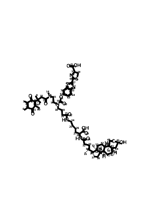 CC1=C(C)C(=O)C(C(C)(C)CC(=O)N(C)CCN(CCCC(=O)NCCCCC(NC(=O)CC[C@@H](C)[C@H]2CC[C@H]3[C@@H]4CC[C@@H]5C[C@H](O)CC[C@]5(C)[C@H]4CC[C@]23C)C(=O)O)C(=O)Oc2ccc3nc(C4=NC(C(=O)O)CS4)sc3c2)=C(C)C1=O